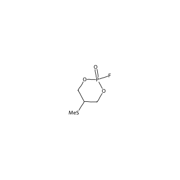 CSC1COP(=O)(F)OC1